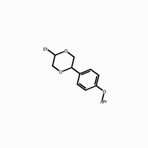 CCCOc1ccc(C2COC(CC)CO2)cc1